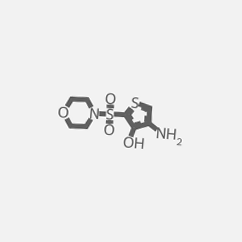 Nc1csc(S(=O)(=O)N2CCOCC2)c1O